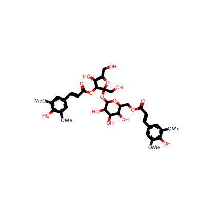 COc1cc(C=CC(=O)OCC2OC(OC3(CO)OC(CO)C(O)C3OC(=O)C=Cc3cc(OC)c(O)c(OC)c3)C(O)C(O)C2O)cc(OC)c1O